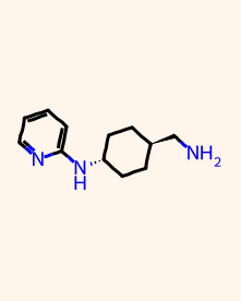 NC[C@H]1CC[C@H](Nc2ccccn2)CC1